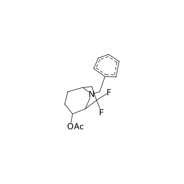 CC(=O)OC1CCC2CC(F)(F)C1N2Cc1ccccc1